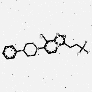 FC(F)(F)CCc1nnc2c(Cl)c(N3CCC(c4ccccc4)CC3)ccn12